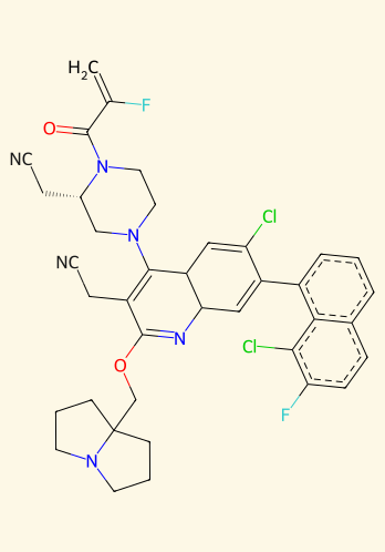 C=C(F)C(=O)N1CCN(C2=C(CC#N)C(OCC34CCCN3CCC4)=NC3C=C(c4cccc5ccc(F)c(Cl)c45)C(Cl)=CC23)C[C@@H]1CC#N